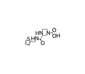 O=C(NCc1cccs1)C1CN(C(=O)O)CCN1